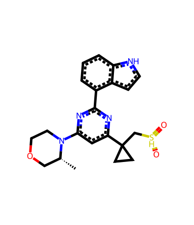 C[C@@H]1COCCN1c1cc(C2(C[SH](=O)=O)CC2)nc(-c2cccc3[nH]ccc23)n1